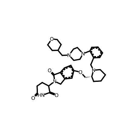 O=C1CCC(N2Cc3cc(OC[C@H]4CCCCN4Cc4ccccc4N4CCN(CC5CCOCC5)CC4)ccc3C2=O)C(=O)N1